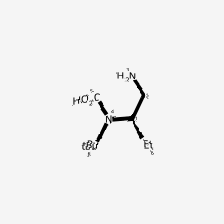 CC[C@H](CN)N(C(=O)O)C(C)(C)C